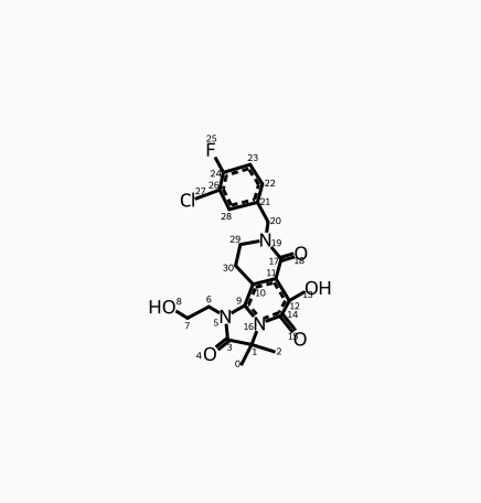 CC1(C)C(=O)N(CCO)c2c3c(c(O)c(=O)n21)C(=O)N(Cc1ccc(F)c(Cl)c1)CC3